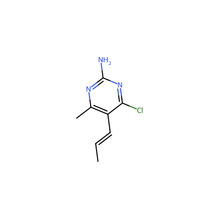 C/C=C/c1c(C)nc(N)nc1Cl